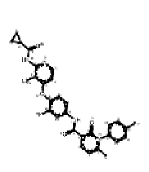 Cc1ccc(C(=O)Nc2ccc(Oc3ccnc(NC(=O)C4CC4)c3Cl)c(F)c2)c(=O)n1-c1ccc(F)cc1